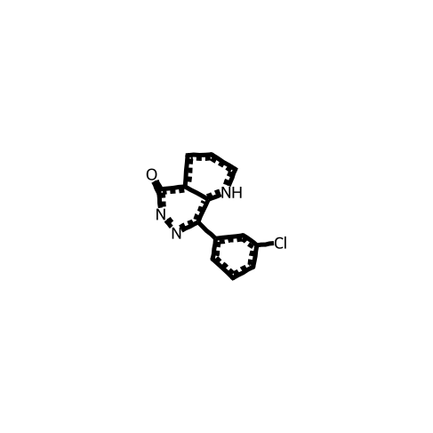 O=c1nnc(-c2cccc(Cl)c2)c2[nH]cccc1-2